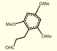 COc1cc(OC)c(CCC=O)c(OC)c1